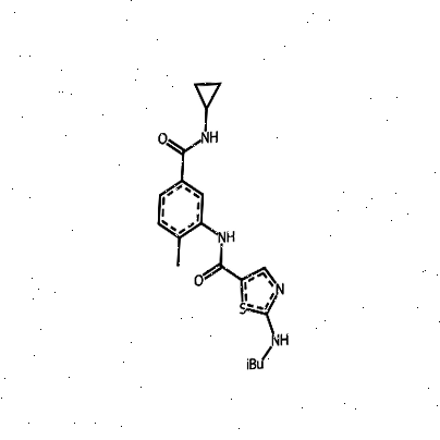 CCC(C)Nc1ncc(C(=O)Nc2cc(C(=O)NC3CC3)ccc2C)s1